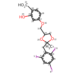 CC1(Cc2c(I)cc(I)cc2I)OCC(COc2ccc(C(=O)O)c(O)c2)O1